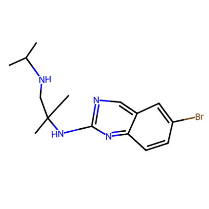 CC(C)NCC(C)(C)Nc1ncc2cc(Br)ccc2n1